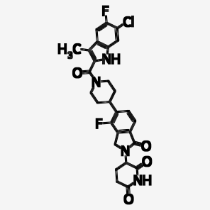 Cc1c(C(=O)N2CCC(c3ccc4c(c3F)CN(C3CCC(=O)NC3=O)C4=O)CC2)[nH]c2cc(Cl)c(F)cc12